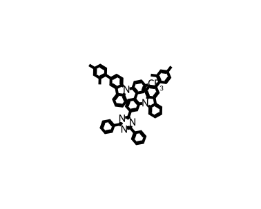 Cc1ccc(-c2ccc3c(c2)c2ccccc2n3-c2ccc(C(F)(F)F)cc2-c2ccc(-c3nc(-c4ccccc4)nc(-c4ccccc4)n3)cc2-n2c3ccccc3c3cc(-c4ccc(C)cc4C)ccc32)c(C)c1